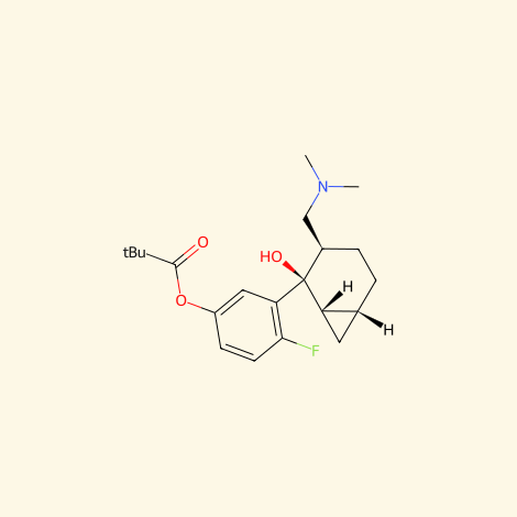 CN(C)C[C@H]1CC[C@@H]2C[C@@H]2[C@]1(O)c1cc(OC(=O)C(C)(C)C)ccc1F